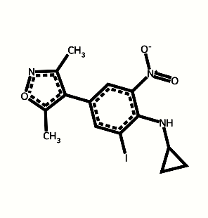 Cc1noc(C)c1-c1cc(I)c(NC2CC2)c([N+](=O)[O-])c1